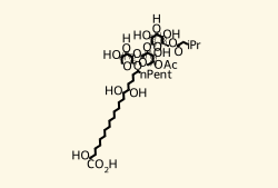 CCCCCC(CCCC(O)C(O)CCCCCCCCCCCCCC(O)C(=O)O)O[C@@H]1OC[C@@H](O)[C@H](O)[C@H]1O[C@@H]1OC[C@@H](OC(C)=O)[C@H](O)[C@H]1O[C@@H]1O[C@H](COC(=O)CC(C)C)[C@@H](O)[C@H](O)[C@H]1O